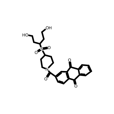 O=C1c2ccccc2C(=O)c2cc(C(=O)N3CCC(S(=O)(=O)C(CCO)CCO)CC3)ccc21